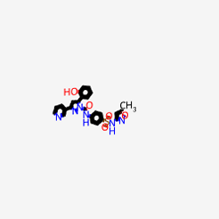 Cc1cc(NS(=O)(=O)c2ccc(NC(=O)N3N=C(c4cccnc4)CC3c3ccccc3O)cc2)no1